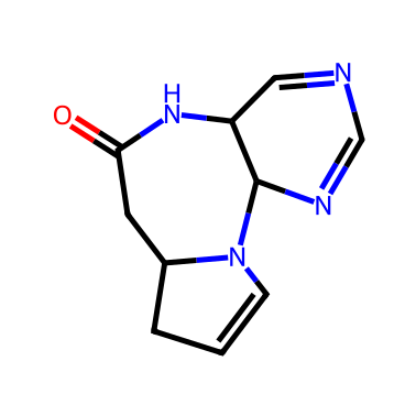 O=C1CC2CC=CN2C2N=CN=CC2N1